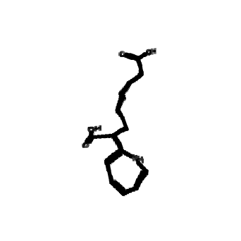 O=C(O)CCCCCC(C(=O)O)C1=CC=CC=CN1